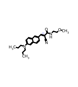 CCCN(CCC)c1ccc2cc(/C=C(\C#N)C(=O)NCCOC)ccc2c1